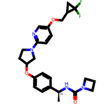 C[C@H](NC(=O)N1CCC1)c1ccc(OC2CCN(c3ccc(OCC4CC4(F)F)cn3)C2)cc1